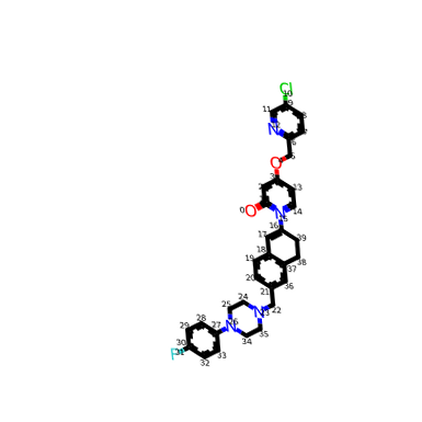 O=c1cc(OCc2ccc(Cl)cn2)ccn1C1=Cc2ccc(CN3CCN(c4ccc(F)cc4)CC3)cc2CC1